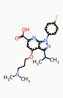 CC(C)c1nn(-c2ccc(F)cc2)c2nc(C(=O)O)cc(OCCCN(C)C)c12